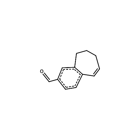 O=Cc1ccc2c(c1)CCCC=C2